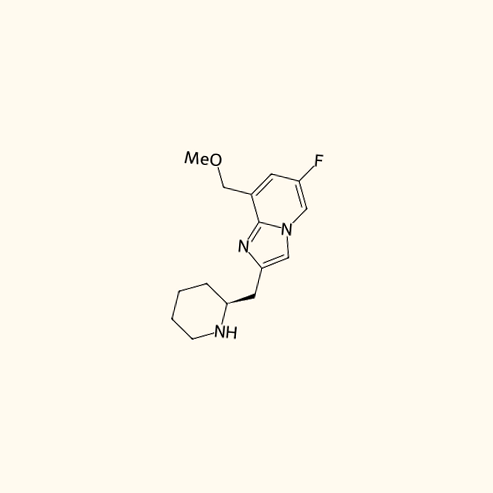 COCc1cc(F)cn2cc(C[C@@H]3CCCCN3)nc12